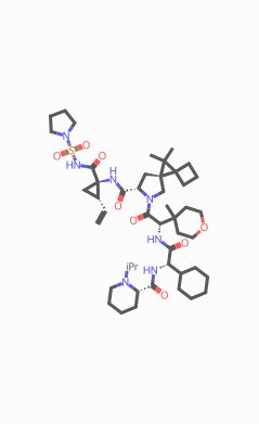 C=C[C@@H]1C[C@]1(NC(=O)[C@@H]1C[C@@]2(CN1C(=O)[C@@H](NC(=O)[C@@H](NC(=O)[C@@H]1CCCCN1C(C)C)C1CCCCC1)C1(C)CCOCC1)C(C)(C)C21CCC1)C(=O)NS(=O)(=O)N1CCCC1